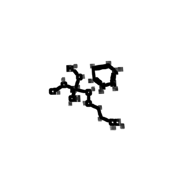 CCO[Si](O)(OCl)OOCCC(Cl)(Cl)Cl.c1cnnnc1